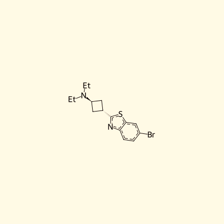 CCN(CC)[C@H]1C[C@H](c2nc3ccc(Br)cc3s2)C1